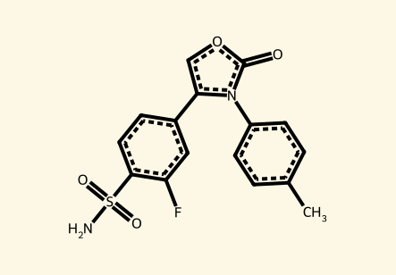 Cc1ccc(-n2c(-c3ccc(S(N)(=O)=O)c(F)c3)coc2=O)cc1